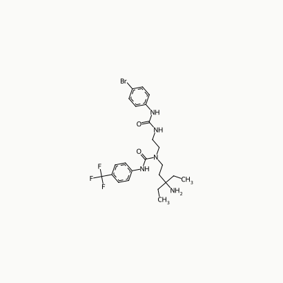 CCC(N)(CC)CCN(CCNC(=O)Nc1ccc(Br)cc1)C(=O)Nc1ccc(C(F)(F)F)cc1